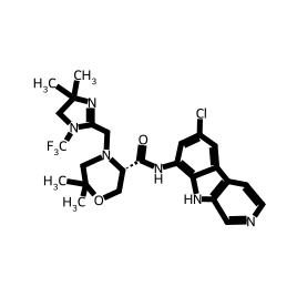 CC1(C)CN(C(F)(F)F)C(CN2CC(C)(C)OC[C@H]2C(=O)Nc2cc(Cl)cc3c2[nH]c2cnccc23)=N1